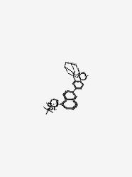 COc1ccc(-c2ccc3c(O[Si](C)(C)C(C)(C)C)cccc3c2)cc1C12CC3CC(CC(C3)C1)C2